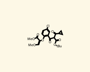 COC=C(Oc1ccc(Cl)cc1C(=O)C(C(=O)OC(C)(C)C)C(=O)C1CC1)C(=O)OC